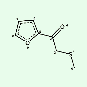 CSCC(=O)c1ccco1